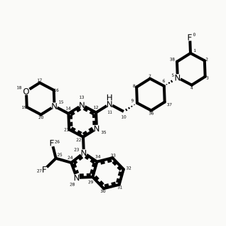 FC1CCCN([C@H]2CC[C@@H](CNc3nc(N4CCOCC4)cc(-n4c(C(F)F)nc5ccccc54)n3)CC2)C1